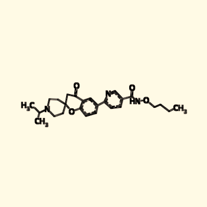 CCCCONC(=O)c1ccc(-c2ccc3c(c2)C(=O)CC2(CCN(C(C)C)CC2)O3)nc1